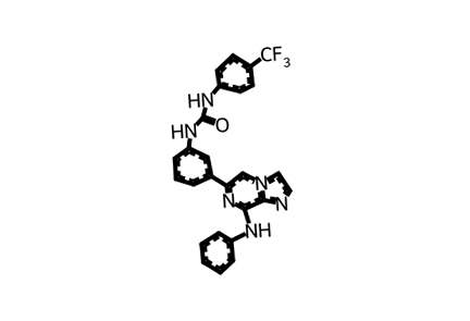 O=C(Nc1ccc(C(F)(F)F)cc1)Nc1cccc(-c2cn3ccnc3c(Nc3ccccc3)n2)c1